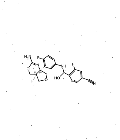 N#Cc1cnc(C(O)Nc2ccc(F)c([C@]34COC[C@@]3(F)COC(N)=N4)c2)c(F)c1